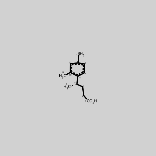 Bc1ccc([C@@H](C)CCC(=O)O)c(C)c1